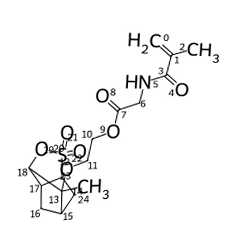 C=C(C)C(=O)NCC(=O)OCCOC1(C)C2CC3C1OS(=O)(=O)C3C2